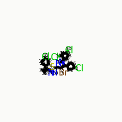 Clc1ccc(-c2c(Br)c(-c3nnc(C4(c5ccc(Cl)cc5)CC4)s3)nn2-c2ccc(Cl)cc2Cl)cc1